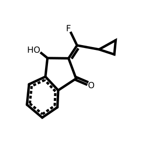 O=C1C(=C(F)C2CC2)C(O)c2ccccc21